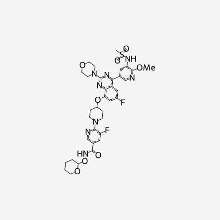 COc1ncc(-c2nc(N3CCOCC3)nc3c(OC4CCN(c5ncc(C(=O)NOC6CCCCO6)cc5F)CC4)cc(F)cc23)cc1NS(C)(=O)=O